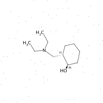 CCN(CC)C[C@@H]1CCCC[C@H]1O